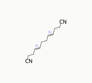 N#CCC/C=C/CC/C=C/CCC#N